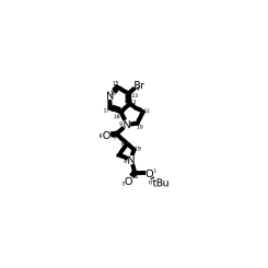 CC(C)(C)OC(=O)N1CC(C(=O)N2CCc3c(Br)cncc32)C1